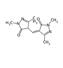 CC1=NN(C)C(=O)/C1=C\C1C(=O)N(C)N=C1C